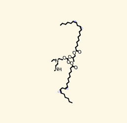 CCCCC/C=C\C/C=C\CCCCCCCC(=O)OCC(COC(=O)CCCCCCC/C=C\C/C=C\CCCCC)OC(=O)OCCN(CC)CCNC